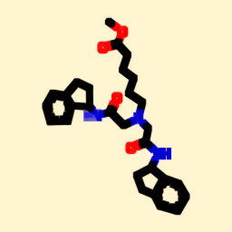 COC(=O)CCCCCN(CC(=O)NC1CCc2ccccc21)CC(=O)NC1CCc2ccccc21